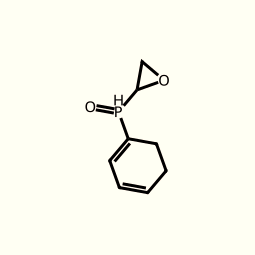 O=[PH](C1=CC=CCC1)C1CO1